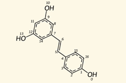 Oc1ccc(/[C]=C/c2cc(O)cc(O)c2)cc1